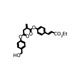 C=C(CC(=O)Oc1ccc(CO)cc1)C(=O)Oc1ccc(/C=C/C(=O)OCC)cc1